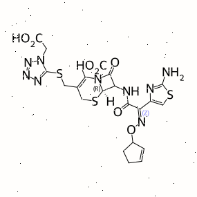 Nc1nc(/C(=N/OC2C=CCC2)C(=O)NC2C(=O)N3C(C(=O)O)=C(CSc4nnnn4CC(=O)O)CS[C@H]23)cs1